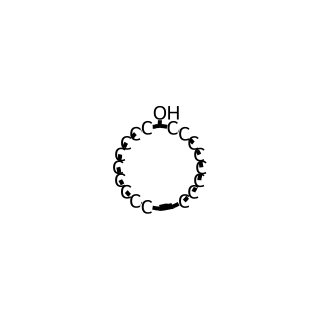 OC1CCCCCCCCC=CCCCCCCCCC1